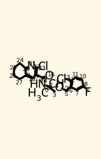 CC(C)(COCc1cc(F)ccc1Cl)NC(=O)c1cc2c(nc1Cl)CCCC2